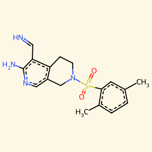 Cc1ccc(C)c(S(=O)(=O)N2CCc3c(cnc(N)c3C=N)C2)c1